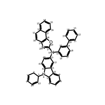 C1=CCC(n2c3ccccc3c3cc(N(c4cccc(-c5ccccc5)c4)c4nc5ccc6ccccc6c5o4)ccc32)C=C1